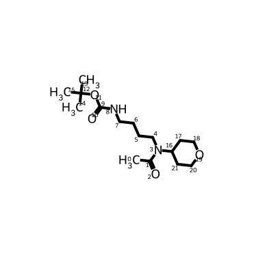 CC(=O)N(CCCCNC(=O)OC(C)(C)C)C1CCOCC1